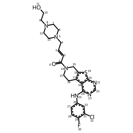 O=C(/C=C/CN1CCN(CCO)CC1)N1CCc2c(sc3ncnc(Nc4ccc(F)c(Cl)c4)c23)C1